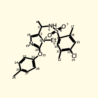 CCn1c(C(C)NS(=O)(=O)c2cc(C)c(Cl)cc2C)cnc1Oc1ccc(C)cc1